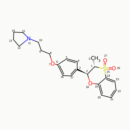 C[C@H]1[C@H](c2ccc(OCCCN3CCCC3)cc2)Oc2ccccc2S1(=O)=O